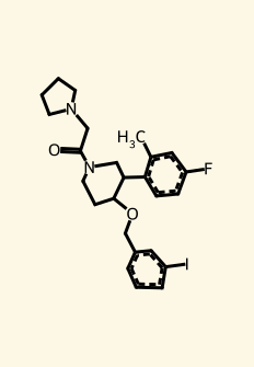 Cc1cc(F)ccc1C1CN(C(=O)CN2CCCC2)CCC1OCc1cccc(I)c1